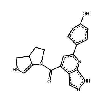 O=C(c1cc(-c2ccc(O)cc2)nc2[nH]ncc12)N1CCC2CNC=C21